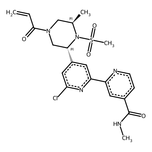 C=CC(=O)N1C[C@@H](C)N(S(C)(=O)=O)[C@H](c2cc(Cl)nc(-c3cc(C(=O)NC)ccn3)c2)C1